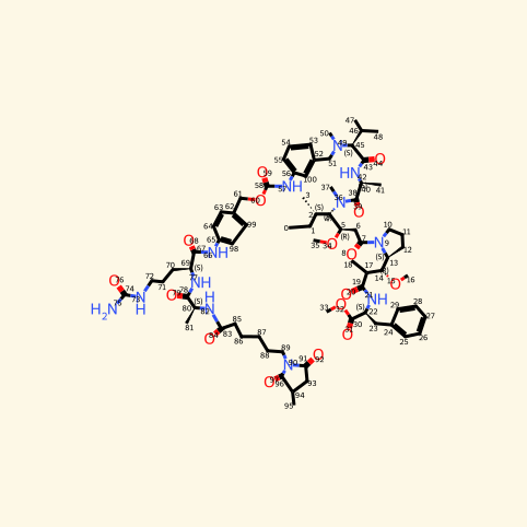 CC[C@H](C)[C@@H]([C@@H](CC(=O)N1CCC[C@H]1[C@H](OC)C(C)C(=O)N[C@@H](Cc1ccccc1)C(=O)OC)OC)N(C)C(=O)[C@H](C)NC(=O)[C@H](C(C)C)N(C)Cc1cccc(NC(=O)OCc2ccc(NC(=O)[C@H](CCCNC(N)=O)NC(=O)[C@H](C)NC(=O)CCCCCN3C(=O)CC(C)C3=O)cc2)c1